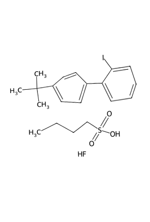 CC(C)(C)c1ccc(-c2ccccc2I)cc1.CCCCS(=O)(=O)O.F